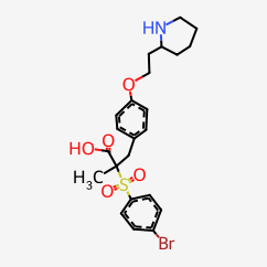 CC(Cc1ccc(OCCC2CCCCN2)cc1)(C(=O)O)S(=O)(=O)c1ccc(Br)cc1